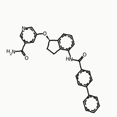 NC(=O)c1cncc(O[C@@H]2CCc3c(NC(=O)c4ccc(-c5ccccc5)cc4)cccc32)c1